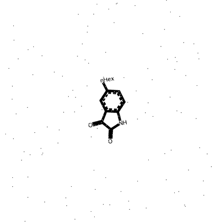 CCCCCCc1ccc2c(c1)C(=O)C(=O)N2